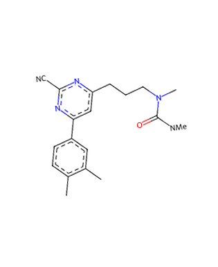 CNC(=O)N(C)CCCc1cc(-c2ccc(C)c(C)c2)nc(C#N)n1